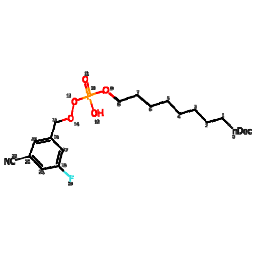 CCCCCCCCCCCCCCCCCCOP(=O)(O)OOCc1cc(F)cc(C#N)c1